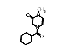 CN1C=CN(C(=O)C2CCCCC2)CC1=O